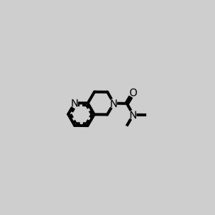 CN(C)C(=O)N1CCc2ncccc2C1